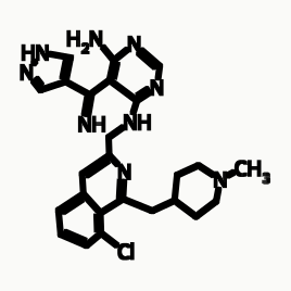 CN1CCC(Cc2nc(CNc3ncnc(N)c3C(=N)c3cn[nH]c3)cc3cccc(Cl)c23)CC1